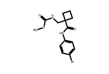 CC(C)(C)OC(=O)NCC1(C(=O)Nc2ccc(Br)cc2)CCC1